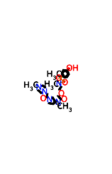 Cc1cc(O)ccc1S(=O)(=O)N(C)CCOCC(=O)N(C)[C@@H]1CCN(C(=O)CN2CCN(C)CC2)C1